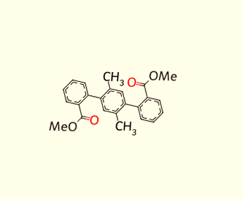 COC(=O)c1ccccc1-c1cc(C)c(-c2ccccc2C(=O)OC)cc1C